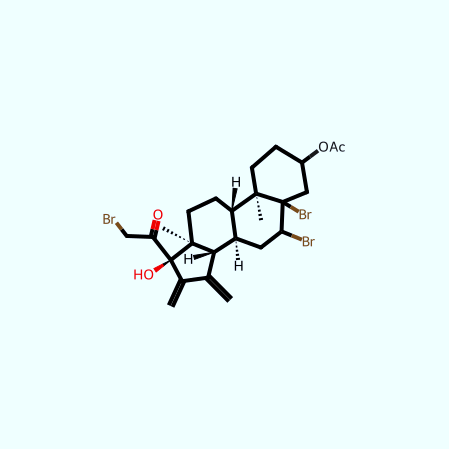 C=C1C(=C)[C@](O)(C(=O)CBr)[C@@]2(C)CC[C@H]3[C@@H](CC(Br)C4(Br)CC(OC(C)=O)CC[C@]34C)[C@H]12